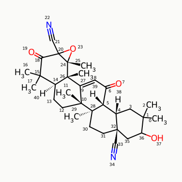 CC1(C)C[C@H]2[C@H]3C(=O)C=C4[C@@](C)(CC[C@H]5C(C)(C)C(=O)C6(C#N)O[C@]6(C)[C@]45C)[C@]3(C)CC[C@@]2(C#N)CC1O